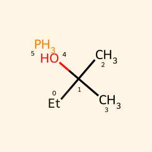 CCC(C)(C)O.P